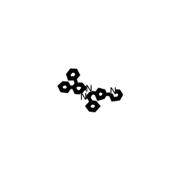 c1ccc(-c2cc3nc(-c4ccccc4)c(-c4ccc(-c5ccccn5)cc4)nc3cc2-c2ccccc2)cc1